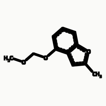 COCOc1cccc2oc(C)cc12